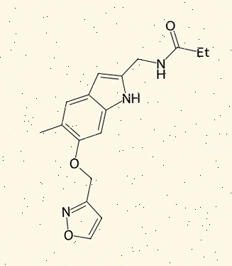 CCC(=O)NCc1cc2cc(C)c(OCc3ccon3)cc2[nH]1